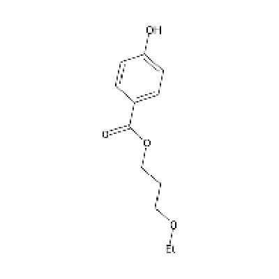 CCOCCCOC(=O)c1ccc(O)cc1